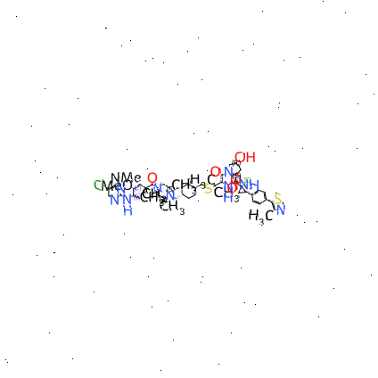 C=C(/C=C(OC)\C(=C/C)Nc1ncc(Cl)c(NC)n1)C(=O)N1C[C@@H](C)N(C[C@H]2CC[C@H](CSC(C)(C)C(NC(=O)C3(F)CC3)C(=O)N3C[C@H](O)C[C@H]3C(=O)NCc3ccc(-c4scnc4C)cc3)CC2)[C@@H](C)C1